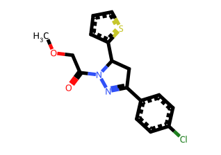 COCC(=O)N1N=C(c2ccc(Cl)cc2)CC1c1cccs1